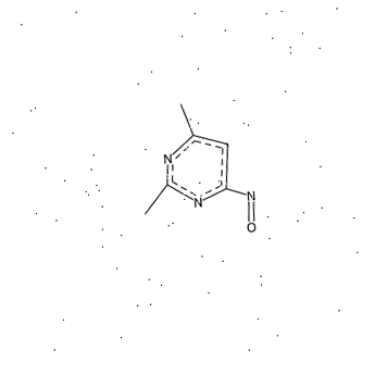 Cc1cc(N=O)nc(C)n1